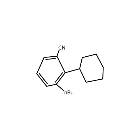 CCCCc1cccc(C#N)c1C1CCCCC1